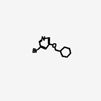 Brc1cncc(OCC2CCCCC2)c1